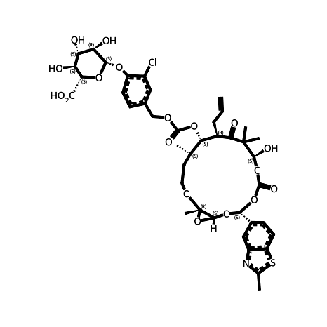 C=CC[C@H]1C(=O)C(C)(C)[C@@H](O)CC(=O)O[C@H](c2ccc3sc(C)nc3c2)C[C@@H]2O[C@]2(C)CCC[C@H](C)[C@@H]1OC(=O)OCc1ccc(O[C@@H]2O[C@H](C(=O)O)[C@@H](O)[C@H](O)[C@H]2O)c(Cl)c1